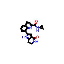 O=C(NC1CC1)c1ccc2cccc(-c3cc4c([nH]3)CCNC4=O)c2n1